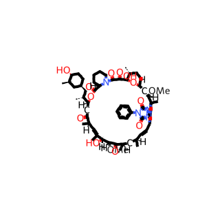 CO[C@H]1C[C@@H]2CC[C@@H](C)[C@@](O)(O2)C(=O)C(=O)N2CCCC[C@H]2C(=O)O[C@H]([C@H](C)C[C@@H]2CC[C@@H](O)[C@H](C)C2)CC(=O)[C@H](C)/C=C(\C)[C@@H](O)[C@@H](OC)C(=O)[C@H](C)C[C@H](C)/C=C/C2C=CC1(C)n1c(=O)n(-c3ccccc3)c(=O)n12